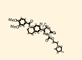 COc1ccc(C(=O)N2CCCc3cc(C4=NN(C(=O)OCCN5CCCC5)C(=O)SC4C)ccc32)cc1OC